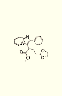 COC(=O)C(CCC1OCCO1)c1c(-c2ccccc2)nc2ccccn12